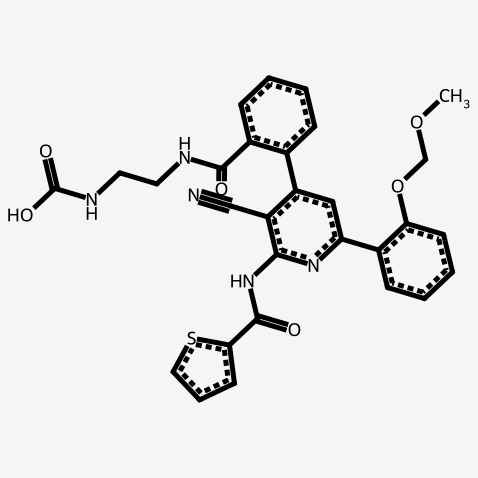 COCOc1ccccc1-c1cc(-c2ccccc2C(=O)NCCNC(=O)O)c(C#N)c(NC(=O)c2cccs2)n1